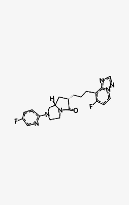 O=C1[C@@H](CCCc2c(F)ccn3ncnc23)C[C@H]2CN(c3ccc(F)cn3)CCN12